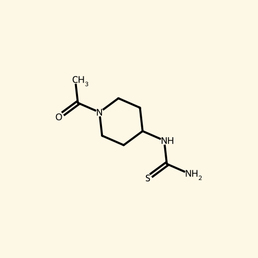 CC(=O)N1CCC(NC(N)=S)CC1